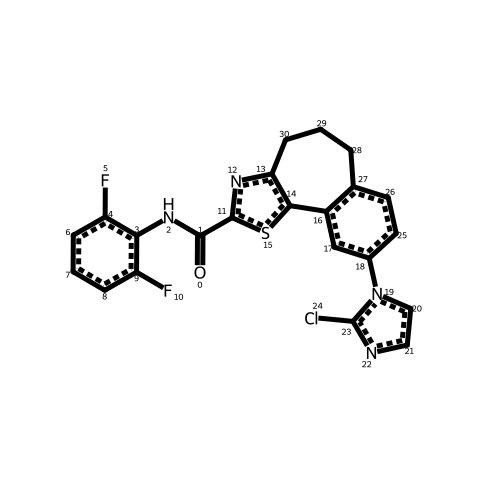 O=C(Nc1c(F)cccc1F)c1nc2c(s1)-c1cc(-n3ccnc3Cl)ccc1CCC2